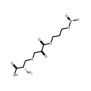 N[C@@H](CSCC(=O)C(=O)OCCCO[N+](=O)[O-])C(=O)O